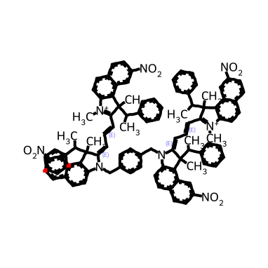 CC(c1ccccc1)C1(C)C(/C=C/C=C2/N(Cc3ccc(CN4/C(=C/C=C/C5=[N+](C)c6ccc7ccc([N+](=O)[O-])cc7c6C5(C)C(C)c5ccccc5)C(C)(C(C)c5ccccc5)c5c4ccc4ccc([N+](=O)[O-])cc54)cc3)c3ccc4ccc([N+](=O)[O-])cc4c3C2(C)C(C)c2ccccc2)=[N+](C)c2ccc3ccc([N+](=O)[O-])cc3c21